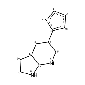 c1csc(C2CNC3NCCC3C2)c1